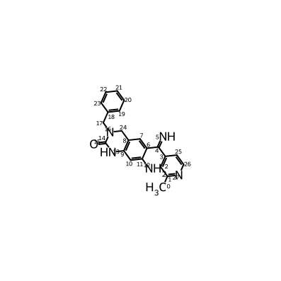 Cc1cc(C(=N)c2cc3c(cc2N)NC(=O)N(Cc2ccccc2)C3)ccn1